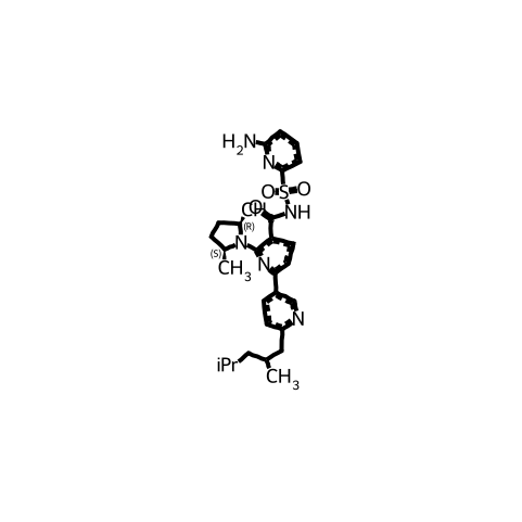 CC(C)CC(C)Cc1ccc(-c2ccc(C(=O)NS(=O)(=O)c3cccc(N)n3)c(N3[C@H](C)CC[C@@H]3C)n2)cn1